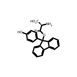 CCC(OC1(c2ccc(O)cc2)c2ccccc2-c2ccccc21)[C@H](N)C(=O)O